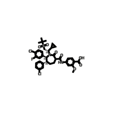 COc1cc(NC(=O)C2CC[C@H](c3cccc(Cl)c3)[C@@H](c3ccc(Cl)c(F)c3)N([C@H](CS(=O)(=O)C(C)(C)C)C3CC3)C2=O)ccc1C(=O)O